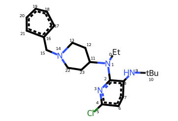 CCN(c1nc(Cl)ccc1NC(C)(C)C)C1CCN(Cc2ccccc2)CC1